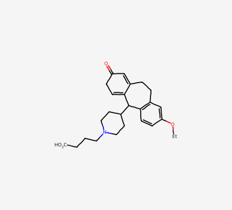 CCOc1ccc2c(c1)CCC1=CC(=O)CC=C1C2C1CCN(CCCC(=O)O)CC1